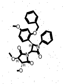 COc1ccc([C@@H]2C(N3C(=O)[C@H](OC)[C@@H](OC)C3=O)C(=O)N2c2ccccc2)c(OCc2ccccc2)c1